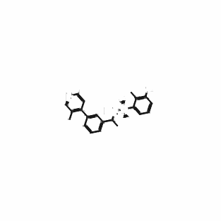 Cc1cnccc1-c1cccc(C(C)NS(=O)(=O)c2cccc(Cl)c2C)c1